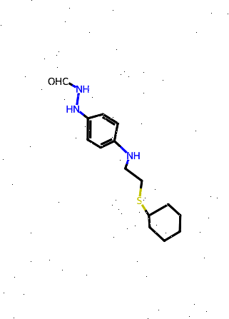 O=CNNc1ccc(NCCSC2CCCCC2)cc1